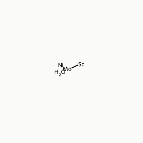 O.[Ni].[Sc][Mo]